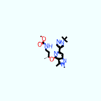 COC(=O)NCC[C@@H](C)Oc1nc(-c2cnn(C(C)(C)C)c2)cc2nn(C)c(C)c12